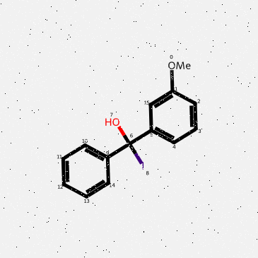 COc1cccc(C(O)(I)c2ccccc2)c1